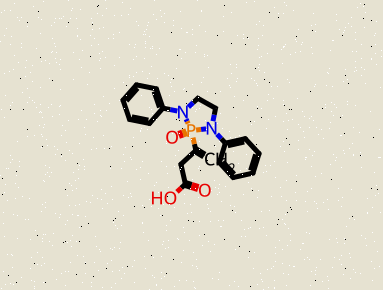 C=C(CC(=O)O)P1(=O)N(c2ccccc2)CCN1c1ccccc1